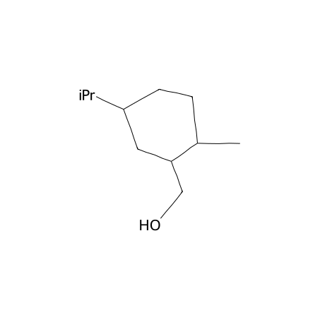 CC(C)C1CCC(C)C(CO)C1